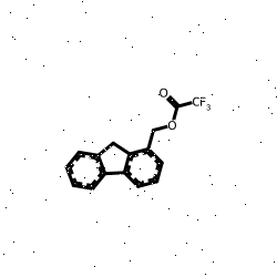 O=C(OCc1cccc2c1Cc1ccccc1-2)C(F)(F)F